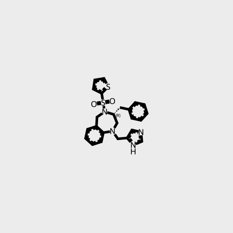 O=S(=O)(c1cccs1)N1Cc2ccccc2N(Cc2cnc[nH]2)C[C@H]1Cc1ccccc1